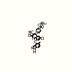 Cc1ccc2[nH]ncc2c1Oc1cc(Cl)cc2c(N3CCN(C(=O)OC(C)(C)C)CC3)c(C#N)c(Cl)nc12